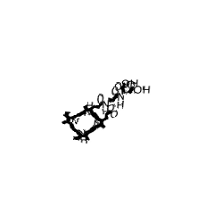 C=CC1=C(C)c2cc3[nH]c(cc4nc(cc5[nH]c(cc1n2)c(C)c5CCC(=O)NCCC(=O)N[C@@H](CC(=O)O)C(=O)O)C(CCC(=O)OC)C4C)c(C)c3C=C